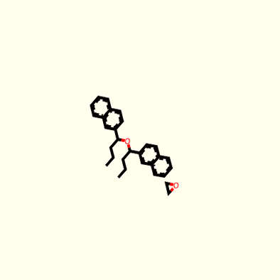 C1CO1.CCCC(OC(CCC)c1ccc2ccccc2c1)c1ccc2ccccc2c1